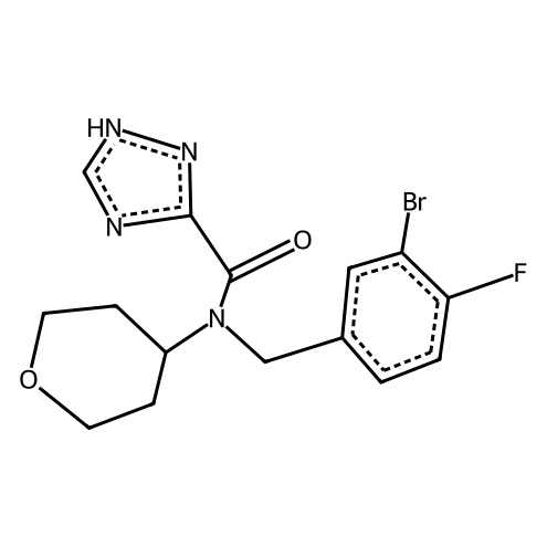 O=C(c1nc[nH]n1)N(Cc1ccc(F)c(Br)c1)C1CCOCC1